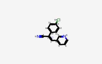 N#C/C(=C/c1cccnc1)c1ccc(Cl)cc1